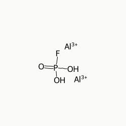 O=P(O)(O)F.[Al+3].[Al+3]